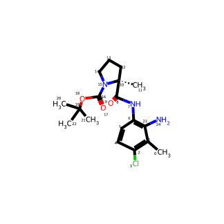 Cc1c(Cl)ccc(NC(=O)[C@]2(C)CCCN2C(=O)OC(C)(C)C)c1N